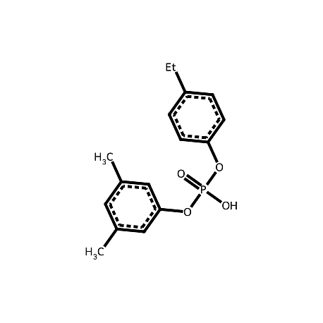 CCc1ccc(OP(=O)(O)Oc2cc(C)cc(C)c2)cc1